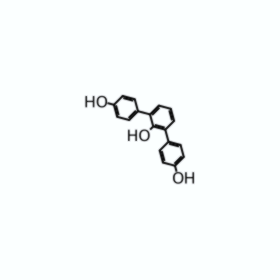 Oc1ccc(-c2cccc(-c3ccc(O)cc3)c2O)cc1